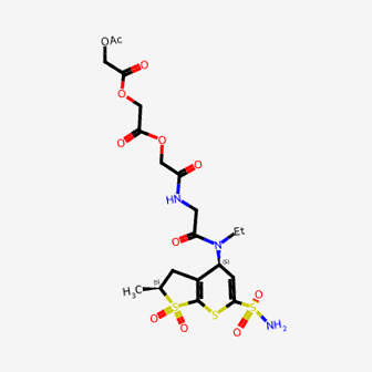 CCN(C(=O)CNC(=O)COC(=O)COC(=O)COC(C)=O)[C@H]1C=C(S(N)(=O)=O)SC2=C1C[C@H](C)S2(=O)=O